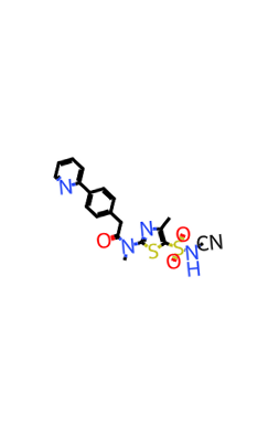 Cc1nc(N(C)C(=O)Cc2ccc(-c3ccccn3)cc2)sc1S(=O)(=O)NC#N